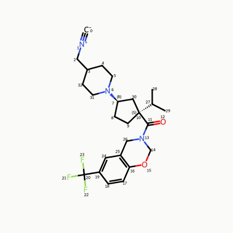 [C-]#[N+]CC1CCN([C@@H]2CC[C@@](C(=O)N3COc4ccc(C(F)(F)F)cc4C3)(C(C)C)C2)CC1